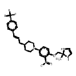 CC1(COc2ccc(N3CCC(CC=Cc4ccc(C(F)(F)F)cc4)CC3)cc2[N+](=O)[O-])NC=CN1